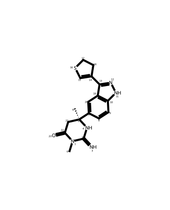 CN1C(=N)N[C@](C)(c2ccc3[nH]nc(C4=CSCC4)c3c2)CC1=O